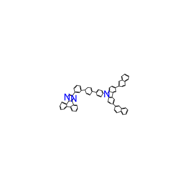 C1=CC(c2cccc(-c3cnc4c5ccccc5c5ccccc5c4n3)c2)CC=C1c1ccc(-n2c3ccc(-c4ccc5ccccc5c4)cc3c3cc(-c4ccc5ccccc5c4)ccc32)cc1